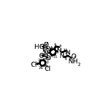 NC(=O)c1cnc(-n2ccc3cc(N(CP(=O)(O)O)S(=O)(=O)c4cc(Cl)cc(Cl)c4)ccc32)cn1